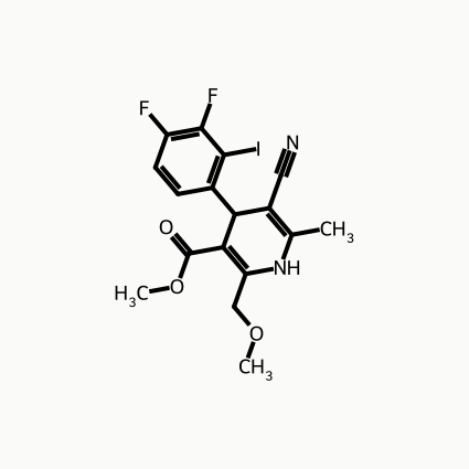 COCC1=C(C(=O)OC)C(c2ccc(F)c(F)c2I)C(C#N)=C(C)N1